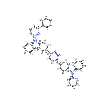 c1ccc(-c2ccnc(-n3c4ccccc4c4cc(-c5ccc(-c6ccc7c(c6)c6ccccc6n7-c6ncccn6)cn5)ccc43)n2)cc1